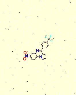 O=[N+]([O-])c1ccc2c(c1)nc(-c1ccc(C(F)(F)F)cc1)c1cccn12